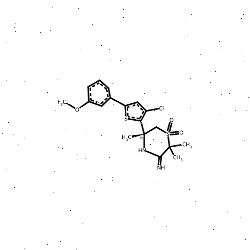 CC1(C)C(=N)N[C@](C)(c2sc(-c3cccc(OC(F)(F)F)c3)cc2Cl)CS1(=O)=O